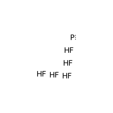 F.F.F.F.F.[P]